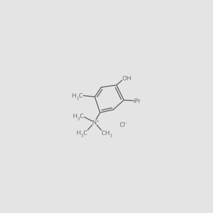 Cc1cc(O)c(C(C)C)cc1[N+](C)(C)C.[Cl-]